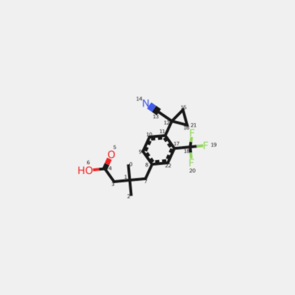 CC(C)(CC(=O)O)Cc1ccc(C2(C#N)CC2)c(C(F)(F)F)c1